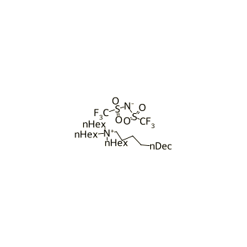 CCCCCCCCCCCCCC[N+](CCCCCC)(CCCCCC)CCCCCC.O=S(=O)([N-]S(=O)(=O)C(F)(F)F)C(F)(F)F